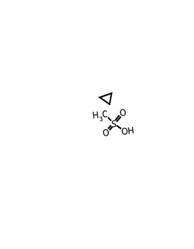 C1CC1.CS(=O)(=O)O